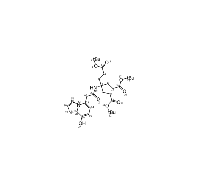 CC(C)(C)OC(=O)CCC(CCC(=O)OC(C)(C)C)(CCC(=O)OC(C)(C)C)NC(=O)Cc1ccc(O)c2ncnn12